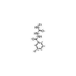 CCNC(=O)NNC(=O)c1cccc(F)c1